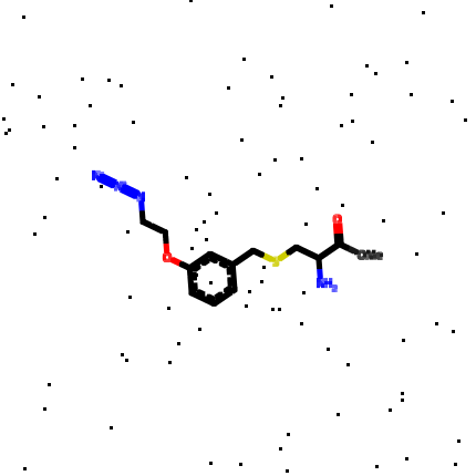 COC(=O)C(N)CSCc1cccc(OCCN=[N+]=[N-])c1